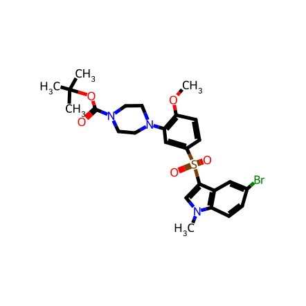 COc1ccc(S(=O)(=O)c2cn(C)c3ccc(Br)cc23)cc1N1CCN(C(=O)OC(C)(C)C)CC1